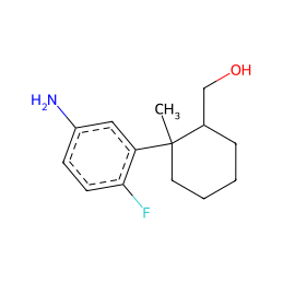 CC1(c2cc(N)ccc2F)CCCCC1CO